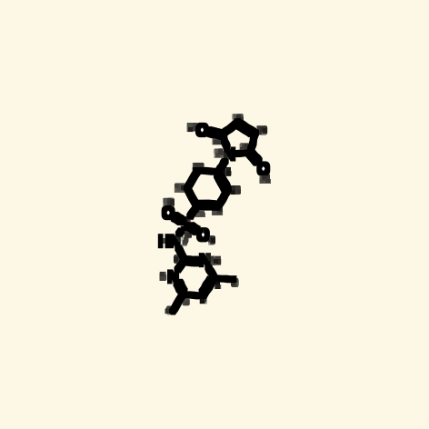 Cc1cc(C)nc(NS(=O)(=O)C2=CC=C(N3C(=O)C=CC3=O)CC2)n1